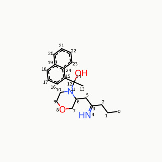 CCCC(=N)CC1COCCN1C(C)(O)c1cccc2ccccc12